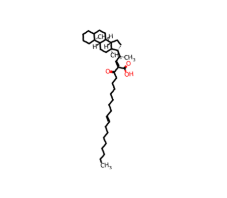 CCCCCCCCC=CCCCCCCCC(=O)C(=C[C@@H](C)[C@H]1CC[C@H]2[C@@H]3CCC4CCCC[C@]4(C)[C@H]3CC[C@]12C)C(=O)O